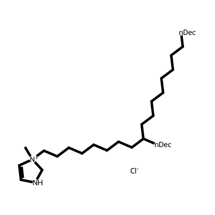 CCCCCCCCCCCCCCCCCCC(CCCCCCCCCC)CCCCCCCC[N+]1(C)C=CNC1.[Cl-]